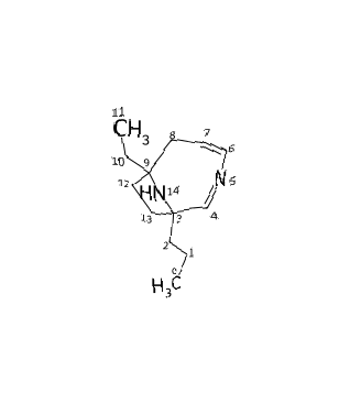 CCCC12/C=N\C=CCC(CC)(CC1)N2